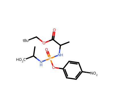 CC(NP(=O)(NC(C)C(=O)OCC(C)(C)C)Oc1ccc([N+](=O)[O-])cc1)C(=O)O